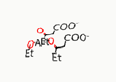 CCC(=O)CC(=O)[O-].CCC(=O)CC(=O)[O-].CC[O][Al+2]